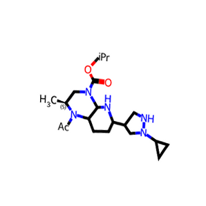 CC(=O)N1C2CCC(C3CNN(C4CC4)C3)NC2N(C(=O)OC(C)C)C[C@@H]1C